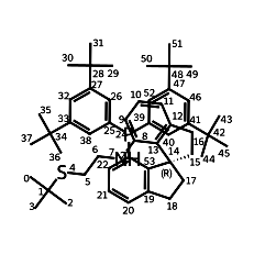 CC(C)(C)SCCNc1cccc2c1[C@@]1(CC2)CCc2cccc(P(c3cc(C(C)(C)C)cc(C(C)(C)C)c3)c3cc(C(C)(C)C)cc(C(C)(C)C)c3)c21